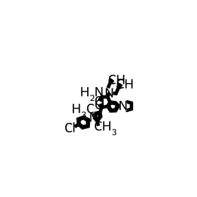 C#CCN(CC#C)C(C(N)=O)c1cc(N2CCCC2)ccc1C(=O)c1cc(C)n(-c2ccc(Cl)cc2)c1C